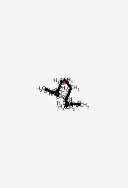 C=CC(=O)OCCOC(=O)NC1CC(C)(C)CC(C)(CNC(=O)OCCOCCC[Si](C)(C)CCCCO[Si](C)(C)O[Si](C)(C)CCCOCCC(=O)C2(C)CC(NC(=O)OCCOC(=O)C=C)CC(C)(C)C2)C1